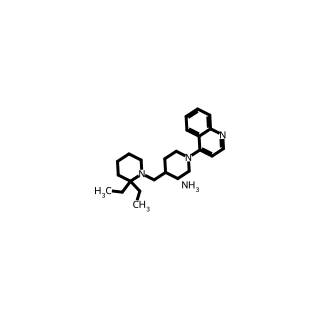 CCC1(CC)CCCCN1CC1CCN(c2ccnc3ccccc23)CC1.N